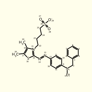 CCN(Cc1ccccc1)c1ccc(/N=N/c2sc(C)c(C)[n+]2CCCCS(=O)(=O)[O-])cc1